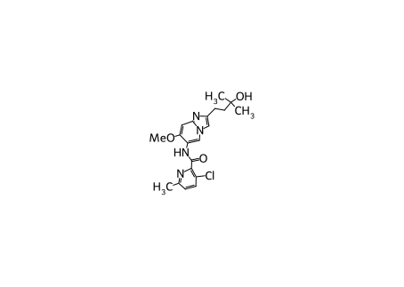 COc1cc2nc(CCC(C)(C)O)cn2cc1NC(=O)c1nc(C)ccc1Cl